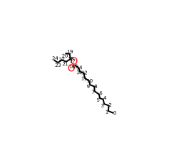 CCCCCCCCCCCCCCCC(=O)OC(CC)CCCC